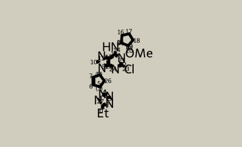 CCc1nnn([C@@H]2C=C[C@H](n3cnc4c(N[C@H]5CCC[C@@H]5OC)nc(Cl)nc43)C2)n1